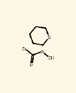 C1CCOCC1.CCC(=O)OO